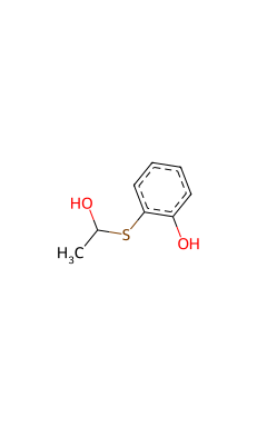 CC(O)Sc1ccccc1O